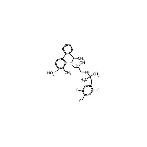 Cc1cc(-c2ccccc2C(C)OC[C@H](O)CNC(C)(C)Cc2cc(F)c(Cl)cc2F)ccc1C(=O)O